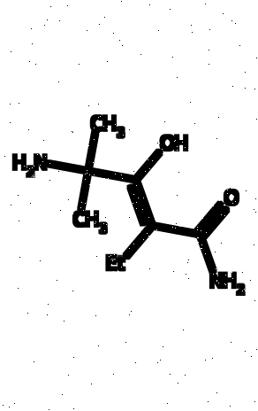 CC/C(C(N)=O)=C(/O)C(C)(C)N